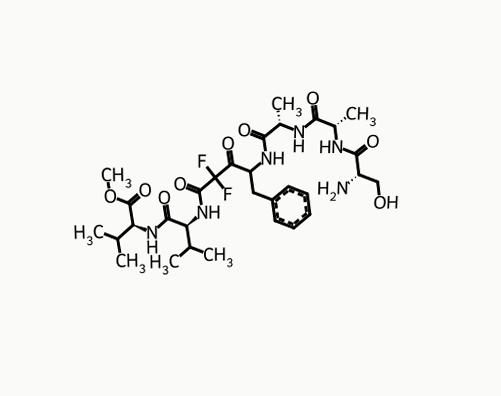 COC(=O)[C@@H](NC(=O)[C@@H](NC(=O)C(F)(F)C(=O)C(Cc1ccccc1)NC(=O)[C@H](C)NC(=O)[C@H](C)NC(=O)[C@@H](N)CO)C(C)C)C(C)C